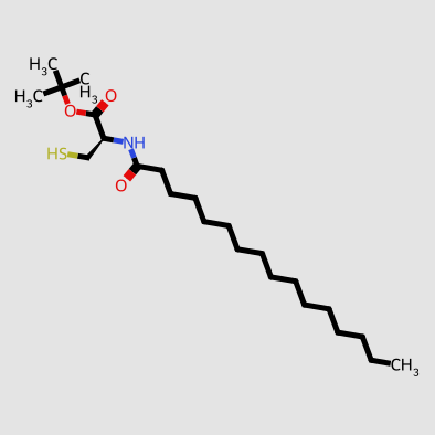 CCCCCCCCCCCCCCCC(=O)N[C@@H](CS)C(=O)OC(C)(C)C